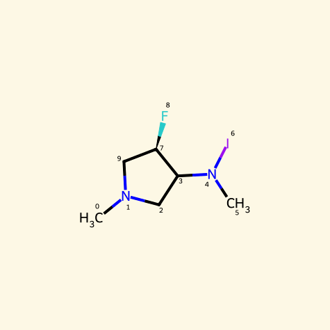 CN1CC(N(C)I)[C@H](F)C1